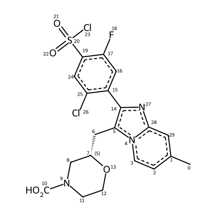 Cc1ccn2c(C[C@H]3CN(C(=O)O)CCO3)c(-c3cc(F)c(S(=O)(=O)Cl)cc3Cl)nc2c1